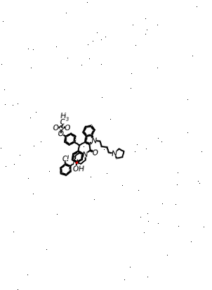 CS(=O)(=O)Oc1ccc(C(c2ccc(O)cc2)c2c(C(=O)N3CCN(c4ccccc4Cl)CC3)n(CCCCN3CCCC3)c3ccccc23)cc1